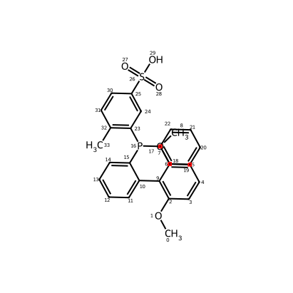 COc1cccc(OC)c1-c1ccccc1P(c1ccccc1)c1cc(S(=O)(=O)O)ccc1C